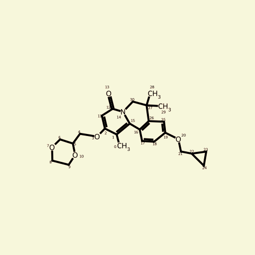 Cc1c(OCC2COCCO2)cc(=O)n2c1-c1ccc(OCC3CC3)cc1C(C)(C)C2